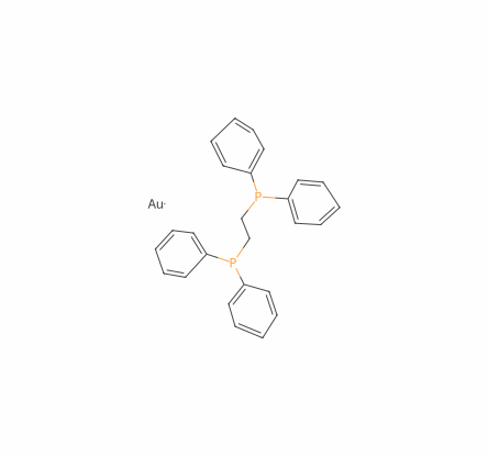 [Au].c1ccc(P(CCP(c2ccccc2)c2ccccc2)c2ccccc2)cc1